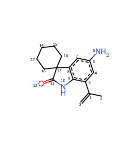 C=C(C)c1cc(N)cc2c1NC(=O)C21CCCCC1